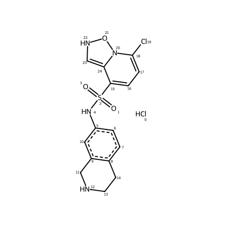 Cl.O=S(=O)(Nc1ccc2c(c1)CNCC2)C1=CC=C(Cl)N2ONC=C12